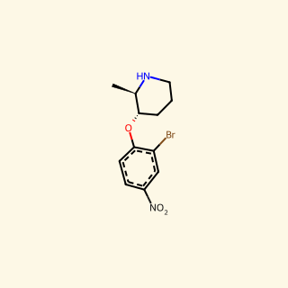 C[C@H]1NCCC[C@@H]1Oc1ccc([N+](=O)[O-])cc1Br